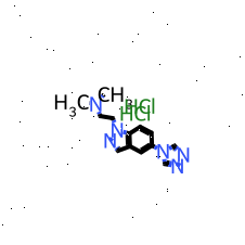 CN(C)CCn1ncc2cc(-n3cnnc3)ccc21.Cl.Cl